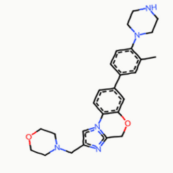 Cc1cc(-c2ccc3c(c2)OCc2nc(CN4CCOCC4)cn2-3)ccc1N1CCNCC1